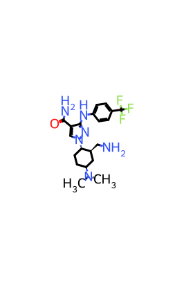 CN(C)[C@H]1CC[C@H](n2cc(C(N)=O)c(Nc3ccc(C(F)(F)F)cc3)n2)[C@@H](CN)C1